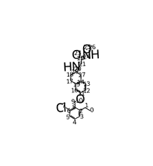 CCc1cccc(Cl)c1COc1ccc2c(c1)CCC(NCC(=O)NOC)C2